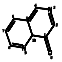 O=C1C=NC=C2C=CC=NC12